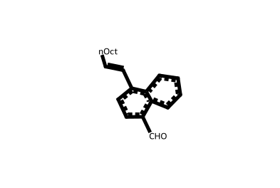 CCCCCCCC/C=C/c1ccc(C=O)c2ccccc12